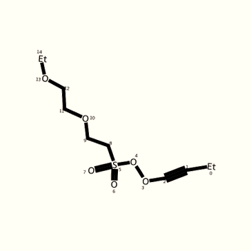 CCC#COOS(=O)(=O)CCOCCOCC